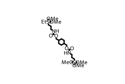 CC[Si](CCCNC(=O)OCC1CCC(COC(=O)NCCC[Si](OC)(OC)OC)CC1)(OC)OC